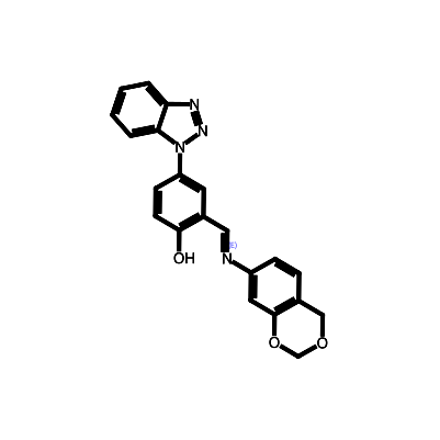 Oc1ccc(-n2nnc3ccccc32)cc1/C=N/c1ccc2c(c1)OCOC2